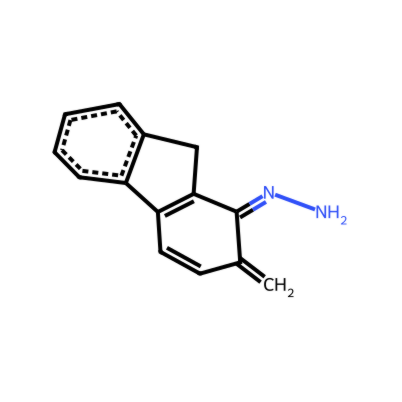 C=C1C=CC2=C(Cc3ccccc32)C1=NN